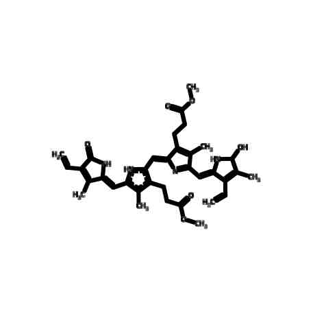 C=CC1=C(C)/C(=C/c2[nH]c(/C=C3N=C(/C=C4\NC(O)C(C)=C4C=C)C(C)=C\3CCC(=O)OC)c(CCC(=O)OC)c2C)NC1=O